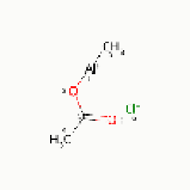 [CH3][Al+][O]C(C)=O.[Cl-]